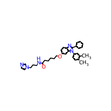 Cc1ccc(-n2c(-c3ccccc3)nc3ccc(OCCCCCC(=O)NCCCn4ccnc4)cc32)cc1C